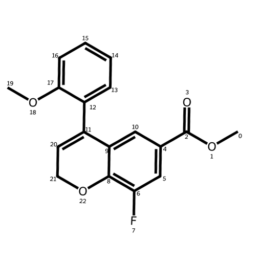 COC(=O)c1cc(F)c2c(c1)C(c1ccccc1OC)=CCO2